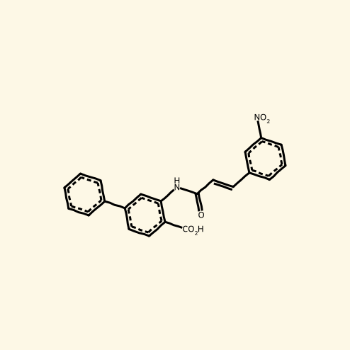 O=C(C=Cc1cccc([N+](=O)[O-])c1)Nc1cc(-c2ccccc2)ccc1C(=O)O